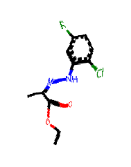 CCOC(=O)/C(C)=N\Nc1cc(F)ccc1Cl